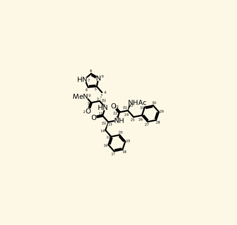 CNC(=O)[C@H](Cc1c[nH]cn1)NC(=O)[C@H](Cc1ccccc1)NC(=O)[C@H](Cc1ccccc1)NC(C)=O